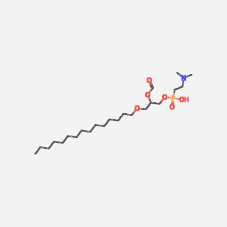 CCCCCCCCCCCCCCCOCC(COP(=O)(O)CCN(C)C)OC=O